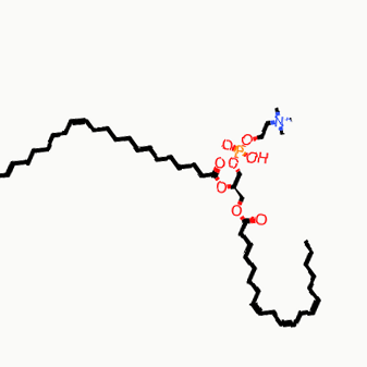 CCCCC/C=C\C/C=C\C/C=C\CCCCCCC(=O)OC[C@H](COP(=O)(O)OCC[N+](C)(C)C)OC(=O)CCCCCCCCCCC/C=C\CCCCCCCC